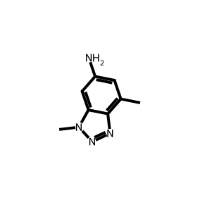 Cc1cc(N)cc2c1nnn2C